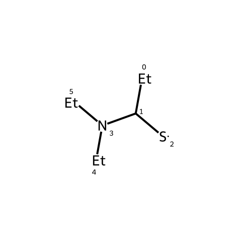 CCC([S])N(CC)CC